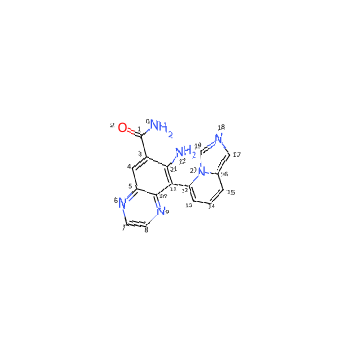 NC(=O)c1cc2nccnc2c(-c2cccc3cncn23)c1N